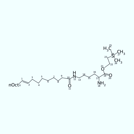 CCCCCCCCC=CCCCCCCCC(=O)NCCCCC(N)C(=O)OCC[Si](C)(C)C